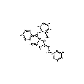 O=C1O[C@H](COc2ccccc2)[C@@H](Oc2ccccc2)[C@H]1Oc1ccccc1